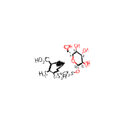 Cc1c(C(=O)O)cccc1C(=O)O.O=S(=O)(O)O[C@@H]1O[C@H](CO)[C@@H](O)[C@H](O)[C@H]1O